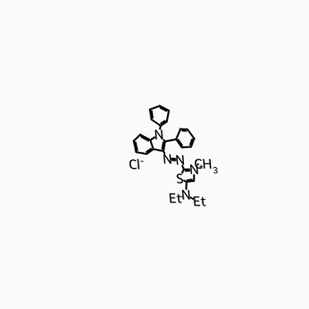 CCN(CC)c1c[n+](C)c(N=Nc2c(-c3ccccc3)n(-c3ccccc3)c3ccccc23)s1.[Cl-]